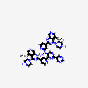 COc1cncc2nc(-c3ccnc(-c4nc(-c5cncnc5)ncc4N(N)c4cc(-c5nc(N6CCNCC6)c6c(OC)cncc6n5)ccn4)c3)nc(N3CCNCC3)c12